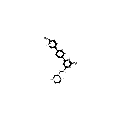 Cc1ccc(-c2ccc(-c3cc(OC[C@H]4COCCO4)cc(Cl)n3)cc2)cn1